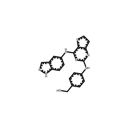 OCc1ccc(Nc2nc(Nc3ccc4[nH]ncc4c3)c3sccc3n2)cc1